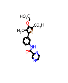 Cc1c(-c2cccc(NC(=O)c3cnccn3)c2)sc(C(=O)O)c1OCC(=O)O